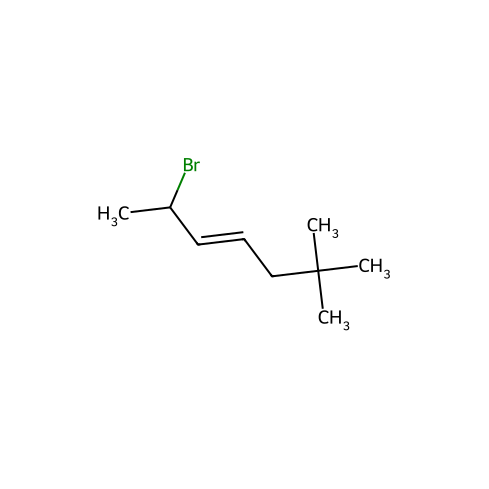 CC(Br)C=CCC(C)(C)C